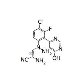 N#C/C(N)=C/N(N)c1ccc(Cl)c(F)c1-c1cc(O)ncn1